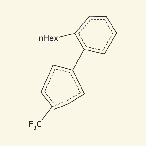 [CH2]CCCCCc1ccccc1-c1ccc(C(F)(F)F)cc1